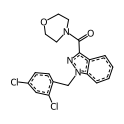 O=C(c1nn(Cc2ccc(Cl)cc2Cl)c2ccccc12)N1CCOCC1